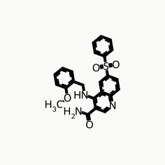 COc1ccccc1CNc1c(C(N)=O)cnc2ccc(S(=O)(=O)c3ccccc3)cc12